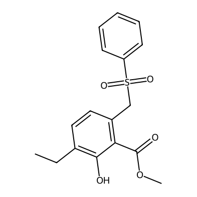 CCc1ccc(CS(=O)(=O)c2ccccc2)c(C(=O)OC)c1O